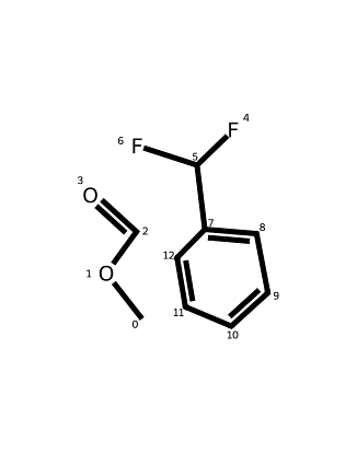 COC=O.FC(F)c1ccccc1